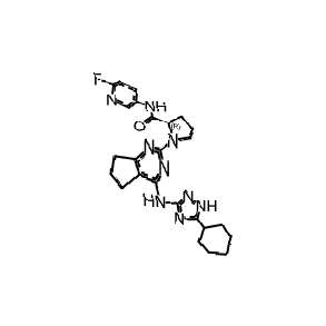 O=C(Nc1ccc(F)nc1)[C@H]1CCCN1c1nc2c(c(Nc3n[nH]c(C4CCCCC4)n3)n1)CCC2